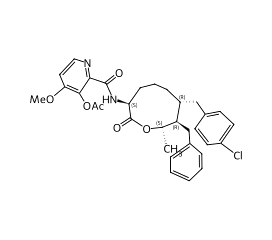 COc1ccnc(C(=O)N[C@H]2CCC[C@H](Cc3ccc(Cl)cc3)[C@@H](Cc3ccccc3)[C@H](C)OC2=O)c1OC(C)=O